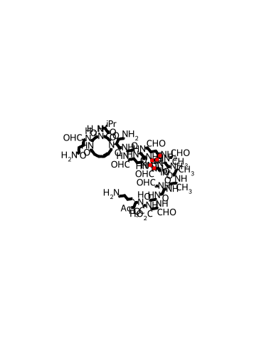 CC(=O)C(=O)[C@H](CCCCN)N[C@@H](C)NC(=O)[C@@H](NC(=O)[C@H](NCC=O)NC(=O)[C@H](C)NC(=O)[C@H](C)NC(=O)[C@@H](NC(=O)[C@@H](NC(=O)[C@@H](NC(=O)[C@@H](NC(=O)[C@H](C(=O)CN)N1CC=CCCC(=O)N[C@@H](N[C@@H](C=O)CCC(N)=O)C(=O)N[C@@H](C(=O)[C@@H](N)C(C)C)C1=O)N[C@@H](C=O)CCCNC(=N)N)N[C@@H](C=O)CCC(N)=O)N[C@@H](C=O)CC(C)C)N[C@@H](C)C=O)N[C@@H](C=O)CC(=O)O